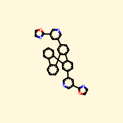 c1ccc2c(c1)-c1ccccc1C21c2cc(-c3cncc(-c4ncco4)c3)ccc2-c2ccc(-c3cncc(-c4ncco4)c3)cc21